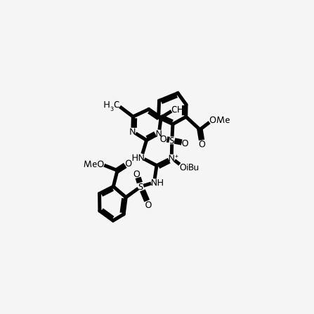 COC(=O)c1ccccc1S(=O)(=O)NC(Nc1nc(C)cc(C)n1)=[N+](OCC(C)C)S(=O)(=O)c1ccccc1C(=O)OC